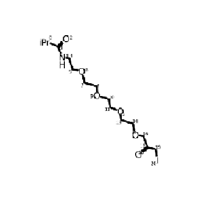 CC(C)C(=O)NCCOCCOCCOCCOCC(=O)CI